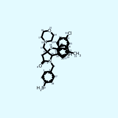 Bc1ccc(CN2C(=O)CC(CN3CCOCC3)(Sc3ccc(C)cc3)C2c2c[nH]c3cc(Cl)ccc23)cc1